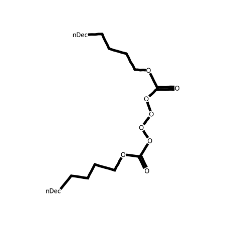 CCCCCCCCCCCCCCOC(=O)OOOOC(=O)OCCCCCCCCCCCCCC